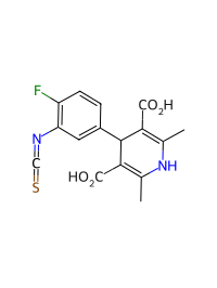 CC1=C(C(=O)O)C(c2ccc(F)c(N=C=S)c2)C(C(=O)O)=C(C)N1